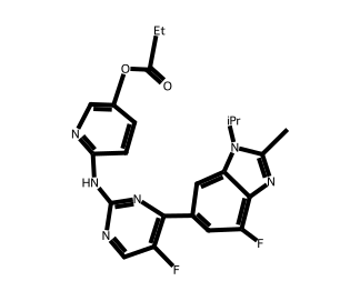 CCC(=O)Oc1ccc(Nc2ncc(F)c(-c3cc(F)c4nc(C)n(C(C)C)c4c3)n2)nc1